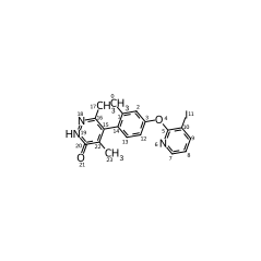 Cc1cc(Oc2ncccc2I)ccc1-c1c(C)n[nH]c(=O)c1C